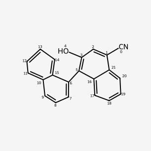 N#Cc1cc(O)c(-c2cccc3ccccc23)c2ccccc12